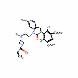 C=CC(=O)N1CC(N(CC)CCn2c(=O)c(-c3c(Cl)c(OC)cc(OC)c3Cl)cc3cnc(NC)cc32)C1